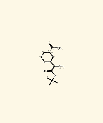 CC(C)(C)OC(=O)N(N)C1CCC[C@H](C(N)=S)C1